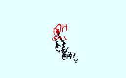 CC(C)CCCCCCCCCCCCCCC(=O)O.CCCCCCCC(=O)O